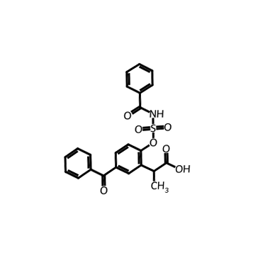 CC(C(=O)O)c1cc(C(=O)c2ccccc2)ccc1OS(=O)(=O)NC(=O)c1ccccc1